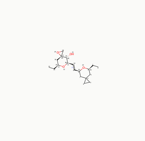 CC[C@H]1CC2(CC2)C[C@@H](/C=C/[C@H]2O[C@@H](CC)C[C@@]3(CO3)[C@@H]2O)O1